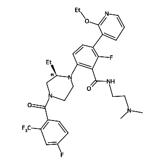 CCOc1ncccc1-c1ccc(N2CCN(C(=O)c3ccc(F)cc3C(F)(F)F)C[C@H]2CC)c(C(=O)NCCN(C)C)c1F